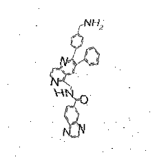 NCc1ccc(-c2nc3ccnc(CNC(=O)c4ccc5nccnc5c4)c3cc2-c2ccccc2)cc1